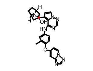 Cc1cc(Nc2ncnn3ccc(CN4[C@@H]5CC[C@H]4C[C@H](O)C5)c23)ccc1Oc1ccn2ncnc2c1